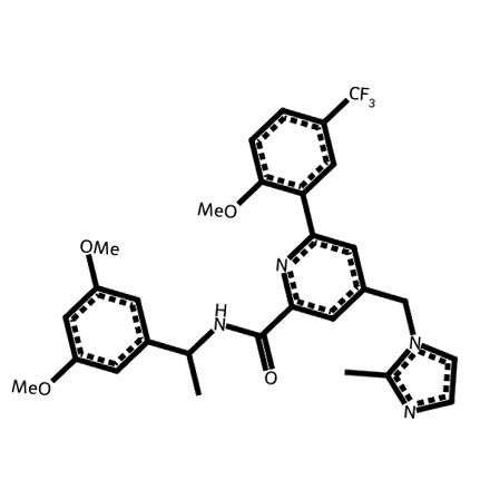 COc1cc(OC)cc(C(C)NC(=O)c2cc(Cn3ccnc3C)cc(-c3cc(C(F)(F)F)ccc3OC)n2)c1